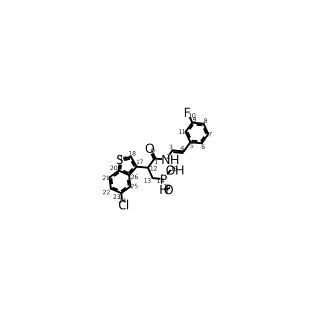 O=C(N/C=C/c1cccc(F)c1)C(C[PH](=O)O)c1csc2ccc(Cl)cc12